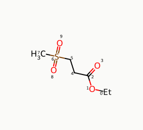 CCOC(=O)CCS(C)(=O)=O